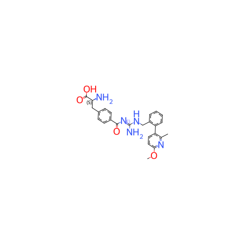 COc1ccc(-c2ccccc2CN/C(N)=N/C(=O)c2ccc(C[C@H](N)C(=O)O)cc2)c(C)n1